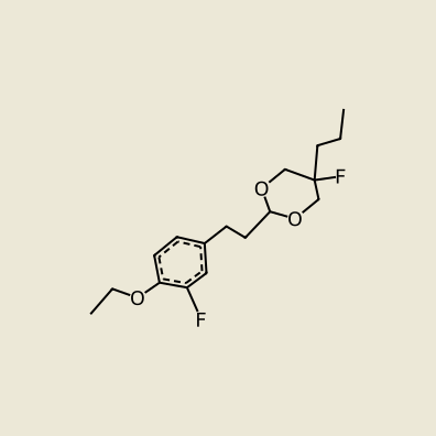 CCCC1(F)COC(CCc2ccc(OCC)c(F)c2)OC1